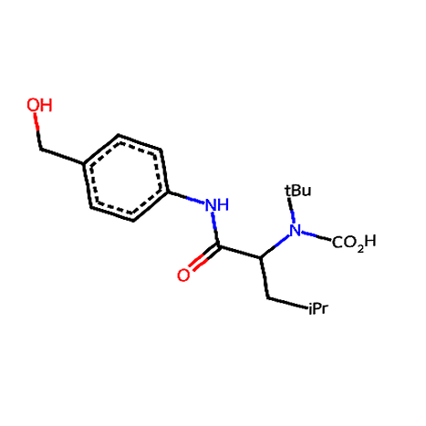 CC(C)CC(C(=O)Nc1ccc(CO)cc1)N(C(=O)O)C(C)(C)C